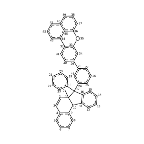 CC12C=Cc3ccccc3C1c1ccccc1C2(c1ccccc1)c1cccc(-c2ccc3c(c2)Oc2cccc4cccc-3c24)c1